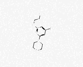 C[C@H](CO)Oc1cc(I)cc(N2CCO[C@@H](C)C2)n1